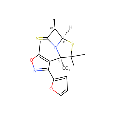 Cc1onc(-c2ccco2)c1[C@@]1(C(=O)O)N2C(=S)[C@@H](C)[C@H]2SC1(C)C